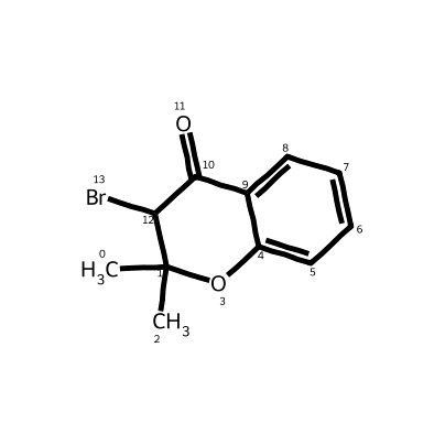 CC1(C)Oc2ccccc2C(=O)C1Br